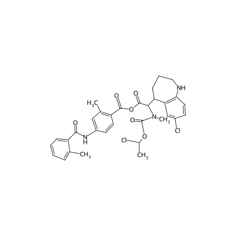 Cc1ccccc1C(=O)Nc1ccc(C(=O)OC(=O)C(C2CCCNc3ccc(Cl)cc32)N(C)C(=O)OC(C)Cl)c(C)c1